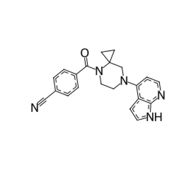 N#Cc1ccc(C(=O)N2CCN(c3ccnc4[nH]ccc34)CC23CC3)cc1